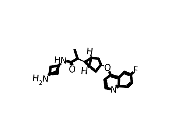 CC(C(=O)NC12CC(N)(C1)C2)[C@H]1[C@@H]2C[C@H](Oc3ccnc4ccc(F)cc34)C[C@@H]21